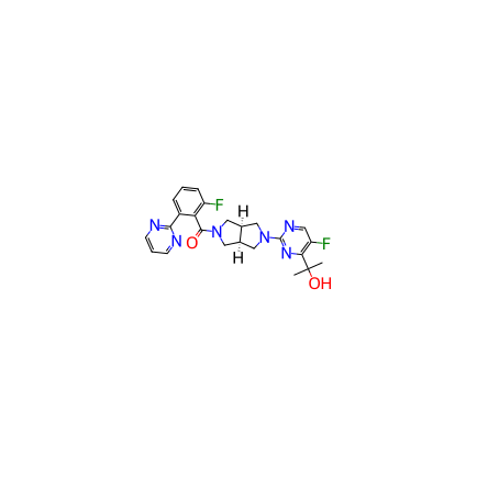 CC(C)(O)c1nc(N2C[C@H]3CN(C(=O)c4c(F)cccc4-c4ncccn4)C[C@H]3C2)ncc1F